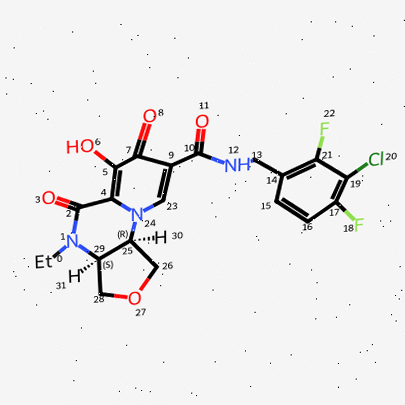 CCN1C(=O)c2c(O)c(=O)c(C(=O)NCc3ccc(F)c(Cl)c3F)cn2[C@H]2COC[C@H]21